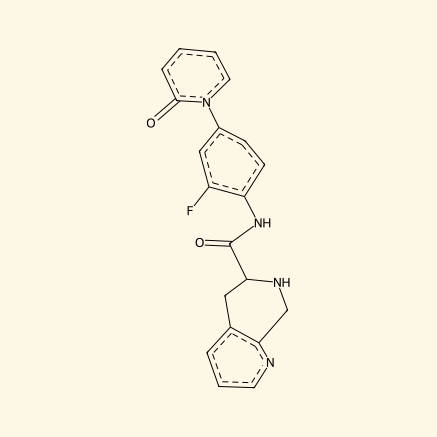 O=C(Nc1ccc(-n2ccccc2=O)cc1F)C1Cc2cccnc2CN1